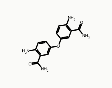 NC(=O)c1cc(Oc2ccc(N)c(C(N)=O)c2)ccc1N